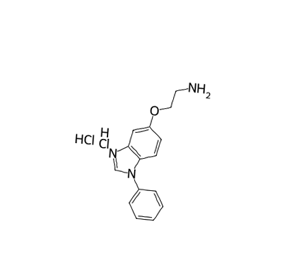 Cl.Cl.NCCOc1ccc2c(c1)ncn2-c1ccccc1